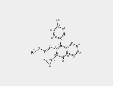 Fc1ccc(-c2c(/C=C/CBr)c(C3CC3)nc3ccccc23)cc1